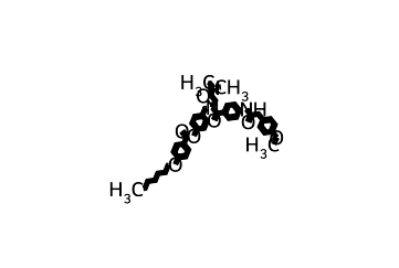 CCCCCCCOc1ccc(C(=O)Oc2ccc(CN(CC(=O)N(C)C)C(=O)c3ccc(NC(=O)Cc4ccc(OC)cc4)cc3)cc2)cc1